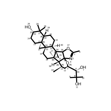 CC1=NC23O[C@@H]([C@H](O)C(C)(C)O)C[C@@H](C)[C@@H]2[C@@]2(C)CC[C@@]45C[C@@]46CC[C@H](O)C(C)(C)[C@@H]6CC[C@H]5[C@]2(C)C3O1